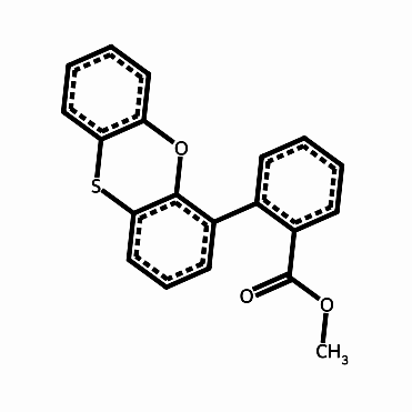 COC(=O)c1ccccc1-c1cccc2c1Oc1ccccc1S2